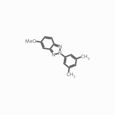 COc1ccc2nn(-c3cc(C)[c]c(C)c3)nc2c1